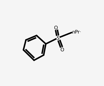 CC[CH]S(=O)(=O)c1ccccc1